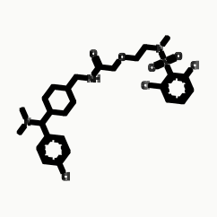 CN(C)C(c1ccc(Cl)cc1)C1CCC(CNC(=O)COCCN(C)S(=O)(=O)c2c(Cl)cccc2Cl)CC1